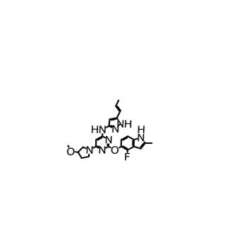 C/C=C/c1cc(Nc2cc(N3CCC(OC)C3)nc(Oc3ccc4[nH]c(C)cc4c3F)n2)n[nH]1